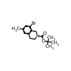 Cc1cc(Br)c2c(c1)CCN(C(=O)OC(C)(C)C)C2